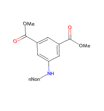 CCCCCCCCCNc1cc(C(=O)OC)cc(C(=O)OC)c1